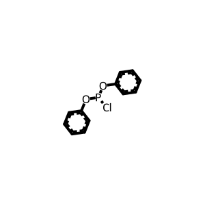 ClP(Oc1ccccc1)Oc1ccccc1